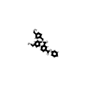 CC(C)Cc1ccc(CN(C(=O)c2cccc(C(=O)Oc3ccccc3)c2)c2ccc(CC(C)C)cc2)cc1